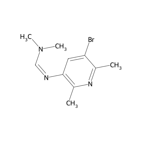 Cc1nc(C)c(/N=C\N(C)C)cc1Br